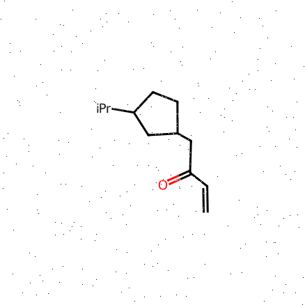 C=CC(=O)CC1CCC(C(C)C)C1